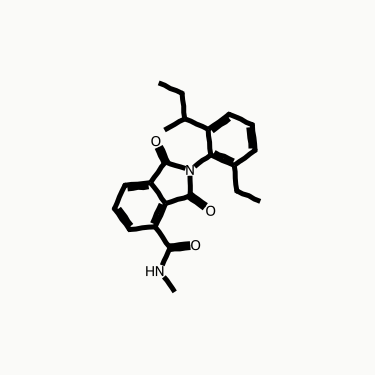 CCc1cccc(C(C)CC)c1N1C(=O)c2cccc(C(=O)NC)c2C1=O